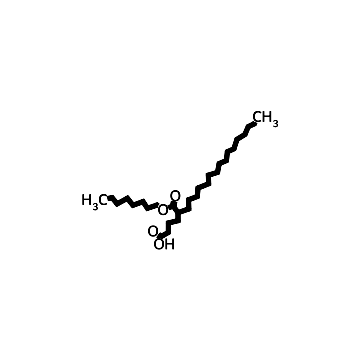 CCCCCCCCCCCCCCCCC(CCCC(=O)O)C(=O)OCCCCCCCC